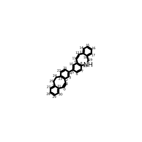 C1#Cc2cc(-c3ccc4c(c3)/C=C\c3ccccc3CN4)ccc2CCc2ccccc21